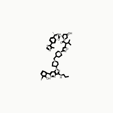 CCCNc1nn(C2CCN(CC3CCN(c4cc(C(C(=O)N5C[C@H](O)C[C@H]5C(=O)N[C@@H](C)c5ccc(-c6scnc6C)cc5)C(C)C)on4)CC3)CC2)c2cc(-c3cccc(F)c3O)nnc12